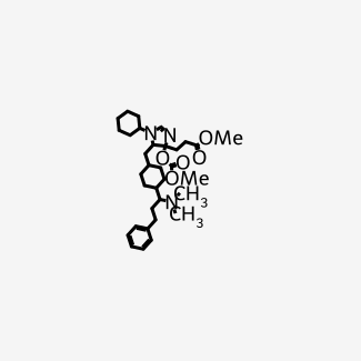 COC(=O)CCC1(OC(=O)OC)N=CN(C2CCCCC2)C1CC1CCC(C(CCc2ccccc2)N(C)C)CC1